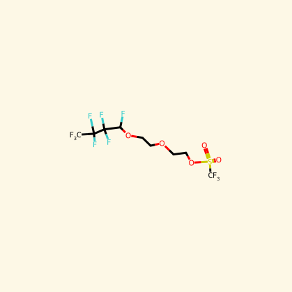 O=S(=O)(OCCOCCOC(F)C(F)(F)C(F)(F)C(F)(F)F)C(F)(F)F